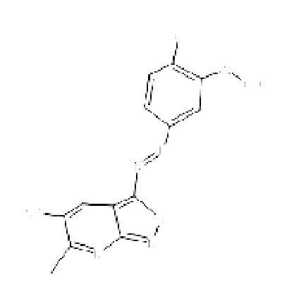 CCOC(=O)Nc1cc(/N=N/c2snc3nc(C)c(C#N)cc23)ccc1O